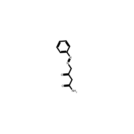 NC(=O)CC(=O)CN=Nc1ccccc1